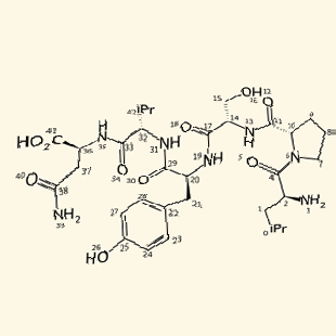 CC(C)C[C@H](N)C(=O)N1CCC[C@H]1C(=O)N[C@@H](CO)C(=O)N[C@@H](Cc1ccc(O)cc1)C(=O)N[C@H](C(=O)N[C@@H](CC(N)=O)C(=O)O)C(C)C